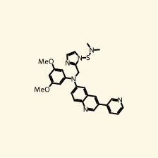 COc1cc(OC)cc(N(Cc2nccn2SN(C)C)c2ccc3ncc(-c4cccnc4)cc3c2)c1